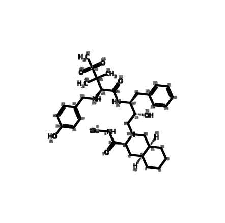 CC(C)(C)NC(=O)[C@@H]1C[C@@H]2CCCC[C@@H]2CN1C[C@@H](O)[C@H](Cc1ccccc1)NC(=O)[C@@H](NCc1ccc(O)cc1)C(C)(C)S(C)(=O)=O